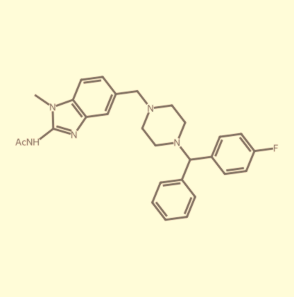 CC(=O)Nc1nc2cc(CN3CCN(C(c4ccccc4)c4ccc(F)cc4)CC3)ccc2n1C